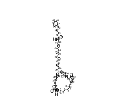 C/C1=C\C=C\C(C)C2(O)CC(OC(=O)N2)C(C)C2OC2(C)C(OC(=O)CCOCCOCCOCCOCCNC(=O)CCSSc2ccccn2)CC(=O)N(C)c2cc(cc(C)c2Cl)C1